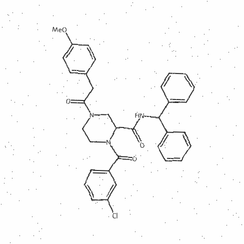 COc1ccc(CC(=O)N2CCN(C(=O)c3cccc(Cl)c3)C(C(=O)NC(c3ccccc3)c3ccccc3)C2)cc1